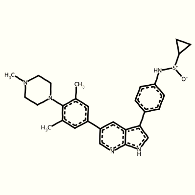 Cc1cc(-c2cnc3[nH]cc(-c4ccc(N[S+]([O-])C5CC5)cc4)c3c2)cc(C)c1N1CCN(C)CC1